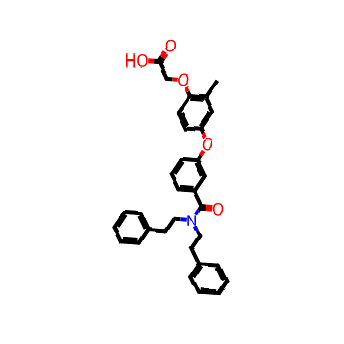 Cc1cc(Oc2cccc(C(=O)N(CCc3ccccc3)CCc3ccccc3)c2)ccc1OCC(=O)O